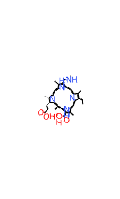 CCC1=C(C)c2cc3[nH]c(cc4nc(c(C)c5[nH]c(cc1n2)c(C)c5C(=O)O)[C@@H](CCC(=O)O)[C@@H]4C)c(C)c3CNC